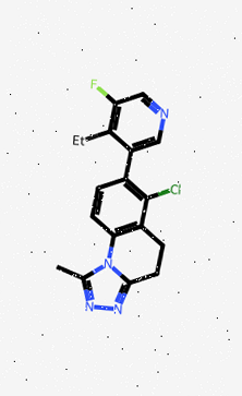 CCc1c(F)cncc1-c1ccc2c(c1Cl)CCc1nnc(C)n1-2